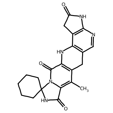 Cc1c2c(c(=O)n3c1C(=O)NC31CCCCC1)Nc1c(cnc3c1CC(=O)N3)C2